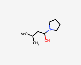 CC(=O)O[C@H](C)CC(O)N1CCCC1